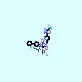 CC1(C)C(=O)N(Cc2ccc(-c3nnc(C(F)F)o3)cn2)C(=O)N1c1ccc(-c2ccccc2F)cc1